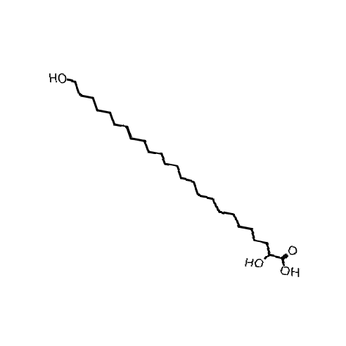 O=C(O)C(O)CCCCCCCCCCCCCCCCCCCCCCCO